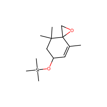 CC1=CC(O[Si](C)(C)C)CC(C)(C)C12CO2